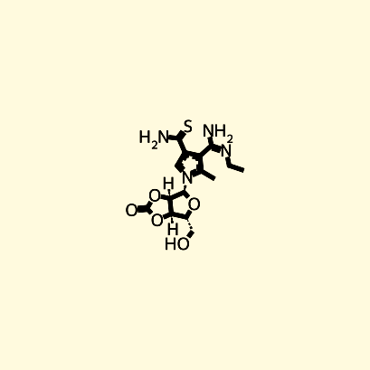 CC/N=C(/N)c1c(C(N)=S)cn([C@@H]2O[C@H](CO)[C@H]3OC(=O)O[C@H]32)c1C